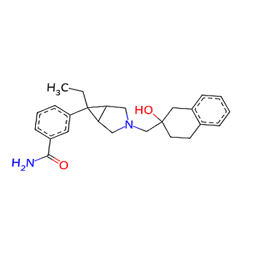 CCC1(c2cccc(C(N)=O)c2)C2CN(CC3(O)CCc4ccccc4C3)CC21